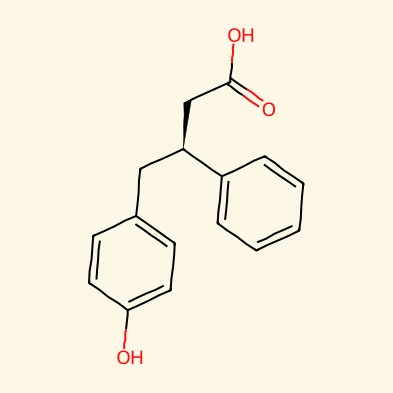 O=C(O)C[C@H](Cc1ccc(O)cc1)c1ccccc1